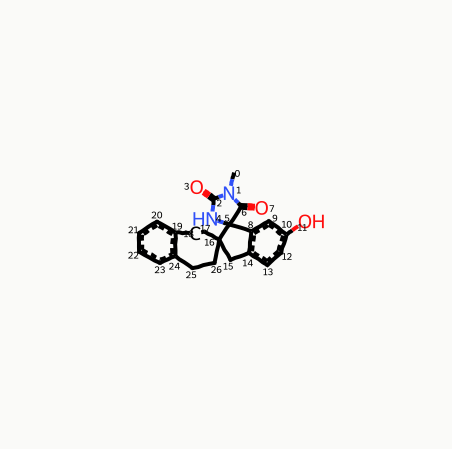 CN1C(=O)NC2(C1=O)c1cc(O)ccc1CC21CCc2ccccc2CC1